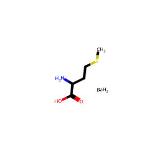 CSCCC(N)C(=O)O.[BaH2]